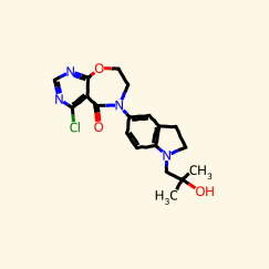 CC(C)(O)CN1CCc2cc(N3CCOc4ncnc(Cl)c4C3=O)ccc21